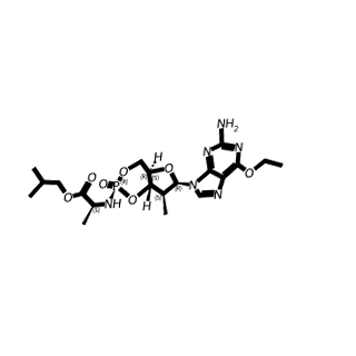 CCOc1nc(N)nc2c1ncn2[C@@H]1O[C@@H]2CO[P@](=O)(N[C@@H](C)C(=O)OCC(C)C)O[C@H]2[C@@H]1C